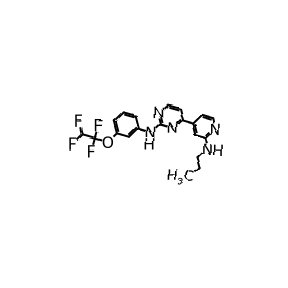 CCCNc1cc(-c2ccnc(Nc3cccc(OC(F)(F)C(F)F)c3)n2)ccn1